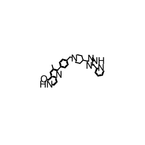 Cc1cc2c(=O)[nH]ccc2nc1-c1ccc(CN2CCC(c3n[nH]c(-c4ccccn4)n3)CC2)cc1